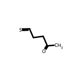 CC(=O)CC[C]=S